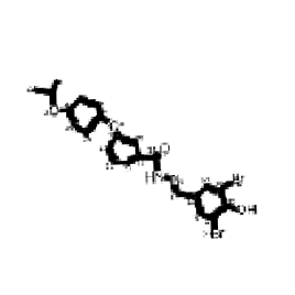 CC(C)Oc1ccc(Oc2cccc(C(=O)N/N=C/c3cc(Br)c(O)c(Br)c3)c2)cc1